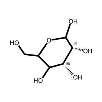 OCC1OC(O)[C@H](O)[C@H](O)C1O